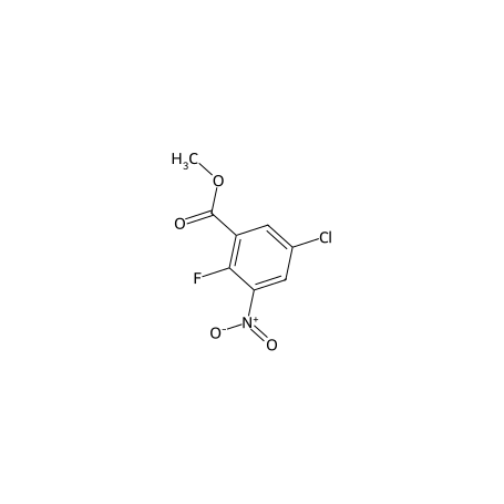 COC(=O)c1cc(Cl)cc([N+](=O)[O-])c1F